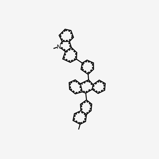 Cc1ccc2cc(-c3c4ccccc4c(-c4cccc(-c5ccc6c(c5)c5ccccc5n6C)c4)c4ccccc34)ccc2c1